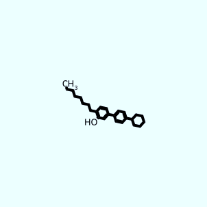 CCCCCCCCc1ccc(-c2ccc(C3CCCCC3)cc2)cc1O